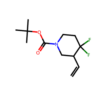 C=CC1CN(C(=O)OC(C)(C)C)CCC1(F)F